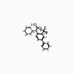 O=C(O)C(c1ccc(-c2ccccc2)cc1C(F)(F)F)C1CCCCC1